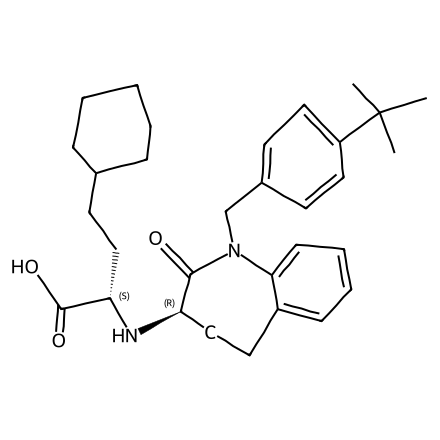 CC(C)(C)c1ccc(CN2C(=O)[C@H](N[C@@H](CCC3CCCCC3)C(=O)O)CCc3ccccc32)cc1